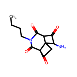 CCCCN1C(=O)C2C(=O)CC23C(N)C(=O)C3C1=O